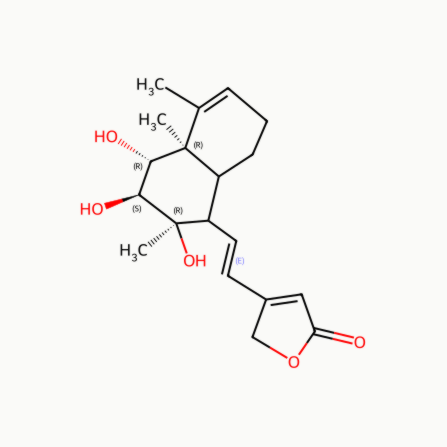 CC1=CCCC2C(/C=C/C3=CC(=O)OC3)[C@@](C)(O)[C@@H](O)[C@H](O)[C@@]12C